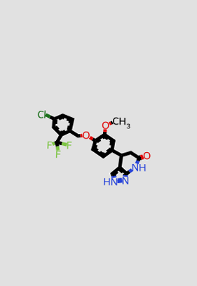 COc1cc(C2CC(=O)Nc3n[nH]cc32)ccc1OCc1ccc(Cl)cc1C(F)(F)F